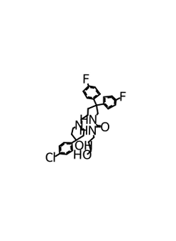 O=C(NCCCO)NCC(CCCN1CCC(O)(c2ccc(Cl)cc2)CC1)(c1ccc(F)cc1)c1ccc(F)cc1